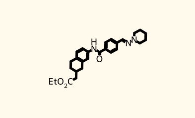 CCOC(=O)CC1CCc2ccc(NC(=O)c3ccc(C=NN4CCCCC4)cc3)cc2C1